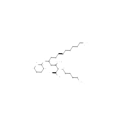 CCCCCCC=CCCC(CC(O)[C@@H](CCCCCC)C(=O)O)OC1CCCCO1